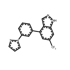 FC(F)(F)c1cc(-c2cccc(-n3cccn3)c2)c2cn[nH]c2c1